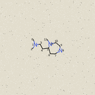 CN(C)CCC1CC[N]CCN1C